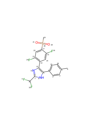 Cc1ccc(-c2[nH]c(C(F)F)nc2-c2cc(F)c(S(C)(=O)=O)cc2F)cc1